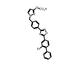 CCc1cc(-c2nc(-c3ccc(Cn4ccc(OC(=O)O)n4)cc3)no2)ccc1-c1ccccc1